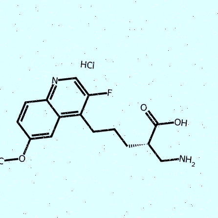 COc1ccc2ncc(F)c(CCC[C@@H](CN)C(=O)O)c2c1.Cl